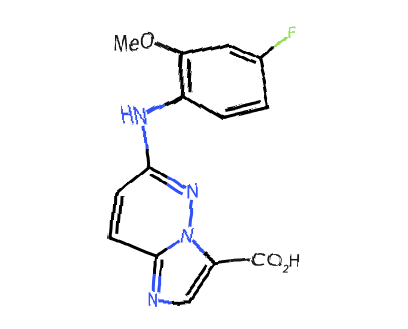 COc1cc(F)ccc1Nc1ccc2ncc(C(=O)O)n2n1